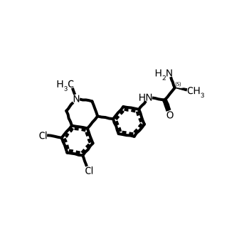 C[C@H](N)C(=O)Nc1cccc(C2CN(C)Cc3c(Cl)cc(Cl)cc32)c1